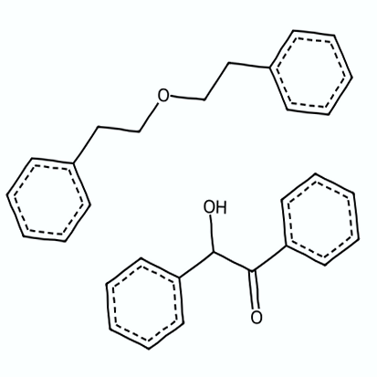 O=C(c1ccccc1)C(O)c1ccccc1.c1ccc(CCOCCc2ccccc2)cc1